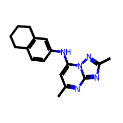 Cc1cc(Nc2ccc3c(c2)CCCC3)n2nc(C)nc2n1